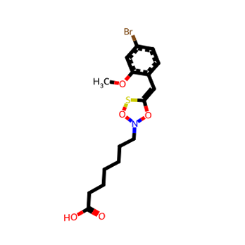 COc1cc(Br)ccc1C=C1ON(CCCCCCC(=O)O)OS1